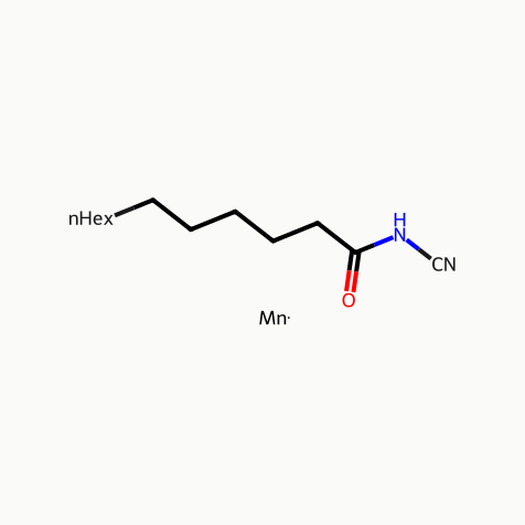 CCCCCCCCCCCC(=O)NC#N.[Mn]